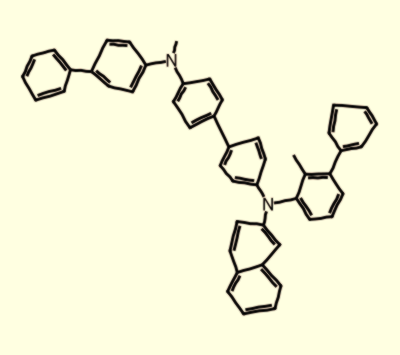 Cc1c(-c2ccccc2)cccc1N(c1ccc(-c2ccc(N(C)c3ccc(-c4ccccc4)cc3)cc2)cc1)c1ccc2ccccc2c1